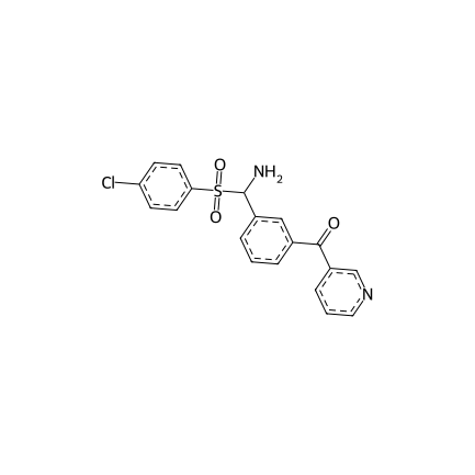 NC(c1cccc(C(=O)c2cccnc2)c1)S(=O)(=O)c1ccc(Cl)cc1